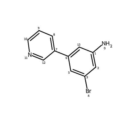 Nc1cc(Br)cc(-c2cccnc2)c1